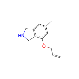 C=CCOc1cc(C)cc2c1CNC2